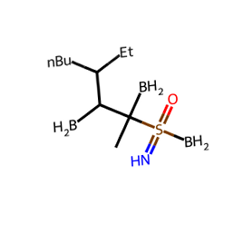 BC(C(CC)CCCC)C(B)(C)S(B)(=N)=O